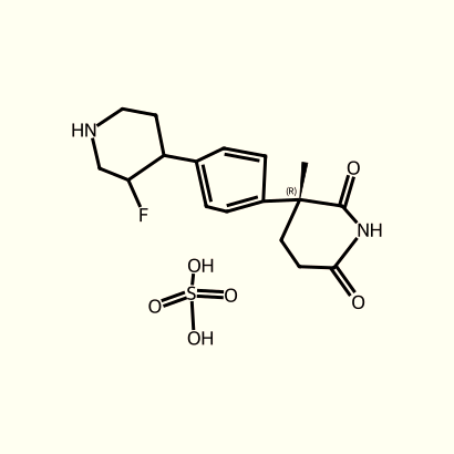 C[C@]1(c2ccc(C3CCNCC3F)cc2)CCC(=O)NC1=O.O=S(=O)(O)O